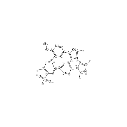 CCOc1ncc(-c2oc(C)nc2-c2cc(-c3ccc(C)c(S(C)(=O)=O)c3)ccc2-n2cc(C)nc2C)cc1F